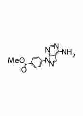 COC(=O)c1ccc(-n2ncc3c(N)ncnc32)cc1